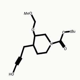 COCOC1CN(C(=O)OC(C)(C)C)CCC1CC#CO